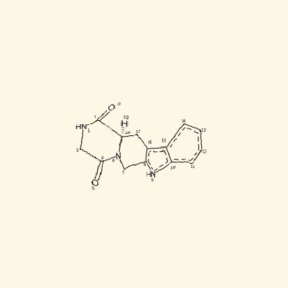 O=C1NCC(=O)N2Cc3[nH]c4ccccc4c3C[C@H]12